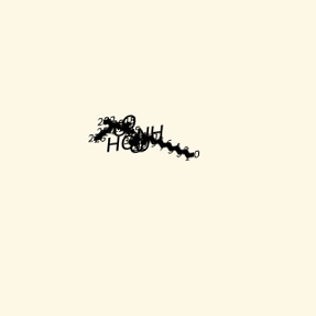 CCCCCCCCCCCC(=O)N[C@@H](CCC(=O)OCC(CC)CCCC)C(=O)O